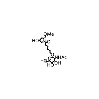 COC[C@@H]1C[C@@H](O)CN1C(=O)CCCCCO[C@@H]1OC(CO)[C@H](O)C(O)[C@@H]1NC(C)=O